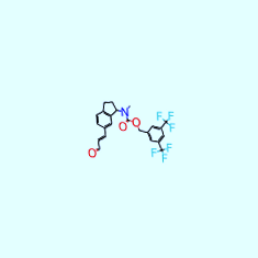 CN(C(=O)OCc1cc(C(F)(F)F)cc(C(F)(F)F)c1)C1CCc2ccc(/C=C/C=O)cc21